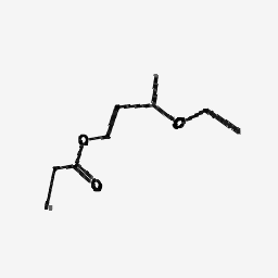 [CH2]CC(=O)OCCC(C)OCC